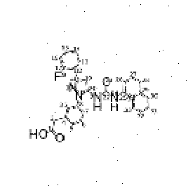 O=C(O)Cc1cccc(-n2nc(-c3ccccc3F)cc2NC(=O)Nc2cccc3ccccc23)c1